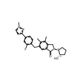 Cc1c(Cc2ccc(-c3ccn(C)n3)cc2F)cc2c(c1C)CN([C@H]1CCC[C@@H]1O)C2=O